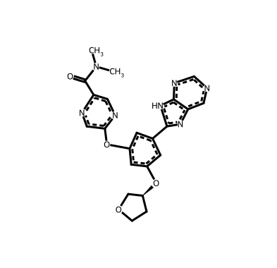 CN(C)C(=O)c1cnc(Oc2cc(O[C@H]3CCOC3)cc(-c3nc4cncnc4[nH]3)c2)cn1